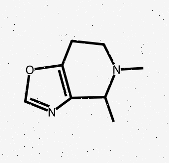 CC1c2ncoc2CCN1C